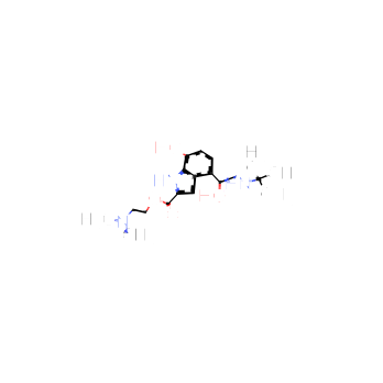 CN(C)CCOC(=O)c1cc2c(C(O)CNC(C)(C)C)ccc(O)c2[nH]1